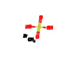 C.O=S(=O)(O)O.[Zr]